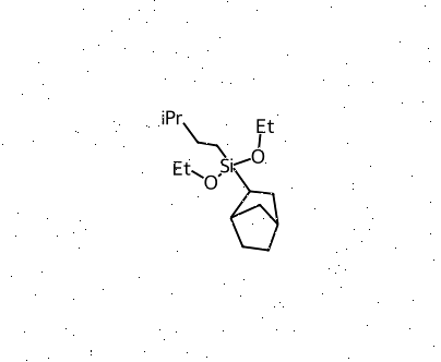 CCO[Si](CCC(C)C)(OCC)C1CC2CCC1C2